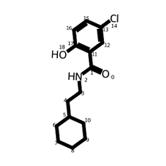 O=C(NCCC1CCCCC1)c1cc(Cl)ccc1O